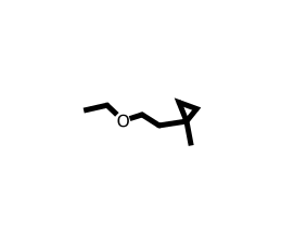 CCOCCC1(C)CC1